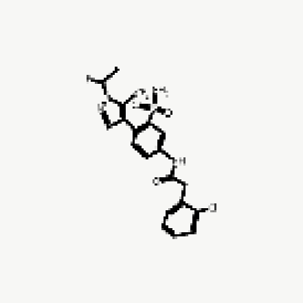 NS(=O)(=O)c1cc(NC(=O)Cc2ccccc2Cl)ccc1-c1cnn(C(F)F)c1C(F)(F)F